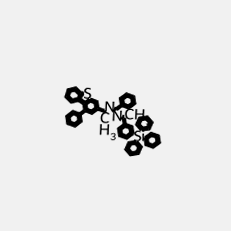 C/C(=N\C(=N/[C@@H](C)c1cc(-c2ccccc2)c2c(c1)sc1ccccc12)c1ccccc1)c1cccc([Si](c2ccccc2)(c2ccccc2)c2ccccc2)c1